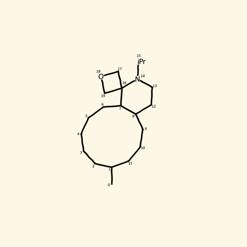 CC1CCCCCC2C(CCC1)CCN(C(C)C)C21COC1